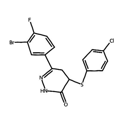 O=C1NN=C(c2ccc(F)c(Br)c2)CC1Sc1ccc(Cl)cc1